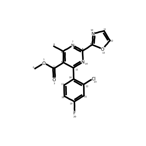 COC(=O)c1c(C)nc(-c2ncco2)nc1-c1ccc(F)cc1Cl